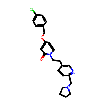 O=c1cc(OCc2ccc(Cl)cc2)ccn1CCc1ccc(CN2CCCC2)nc1